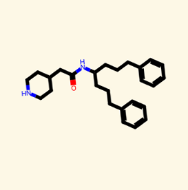 O=C(CC1CCNCC1)NC(CCCc1ccccc1)CCCc1ccccc1